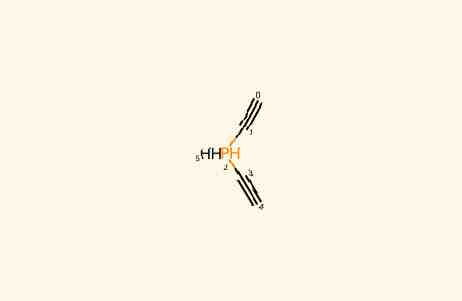 C#CPC#C.[HH]